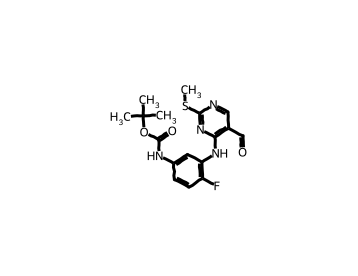 CSc1ncc(C=O)c(Nc2cc(NC(=O)OC(C)(C)C)ccc2F)n1